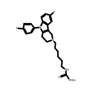 CCCCCCC(=O)NCCCCCCN1CCc2c(c3cc(F)ccc3n2-c2ccc(F)cc2)C1